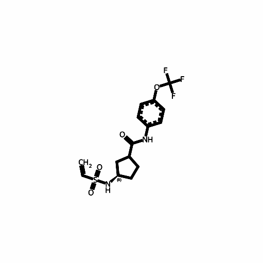 C=CS(=O)(=O)N[C@@H]1CCC(C(=O)Nc2ccc(OC(F)(F)F)cc2)C1